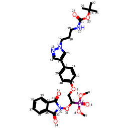 COP(=O)(OC)C(COc1ccc(-c2cnn(CCCNC(=O)OC(C)(C)C)c2)cc1)ON1C(=O)c2ccccc2C1=O